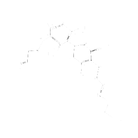 CCON=CCCC1=C(O)CC(c2c(C)cc(C)c(CCCC=O)c2C)CC1=O